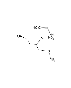 NCC(=O)O.O=[N+]([O-])OCC(CO[N+](=O)[O-])O[N+](=O)[O-]